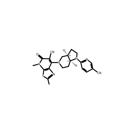 Cc1nc2c(N3CC[C@H]4[C@H](CCN4c4ccc(C#N)cn4)C3)c(C#N)c(=O)n(C)c2s1